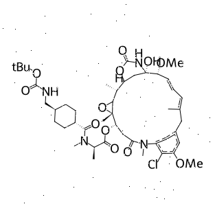 COc1cc2cc(c1Cl)N(C)C(=O)C[C@H](OC(=O)[C@@H](C)N(C)C(=O)[C@H]1CC[C@H](CNC(=O)OC(C)(C)C)CC1)[C@]1(C)OC1[C@H](C)[C@@H]1C[C@@](O)(NC(=O)O1)[C@H](OC)/C=C/C=C(\C)C2